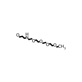 CCOCCOCCOCCOCCNCCC=O